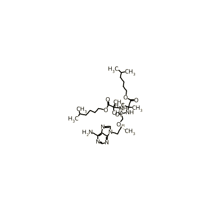 CC(C)CCCCOC(=O)C(C)(C)NP(=O)(CO[C@H](C)Cn1cnc2c(N)ncnc21)NC(C)(C)C(=O)OCCCCC(C)C